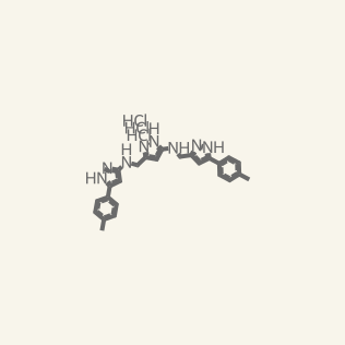 Cc1ccc(-c2cc(CNc3cc(CNc4cc(-c5ccc(C)cc5)[nH]n4)n[nH]3)n[nH]2)cc1.Cl.Cl.Cl